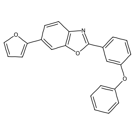 c1ccc(Oc2cccc(-c3nc4ccc(-c5ccco5)cc4o3)c2)cc1